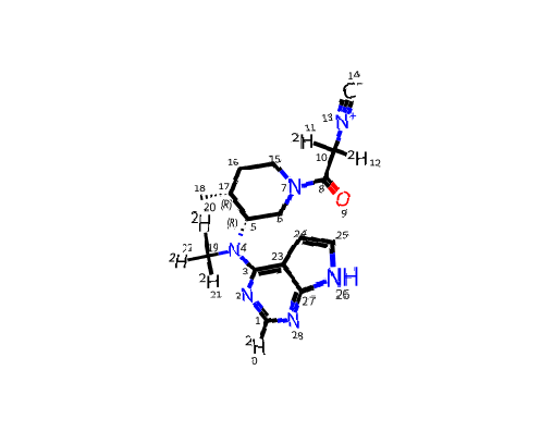 [2H]c1nc(N([C@H]2CN(C(=O)C([2H])([2H])[N+]#[C-])CC[C@H]2C)C([2H])([2H])[2H])c2cc[nH]c2n1